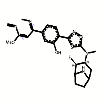 C=N/C(=C\C(=N/C)c1ccc(-c2nnc(N(C)[C@H]3CC4CCC(N4)[C@H]3F)s2)c(O)c1)OC